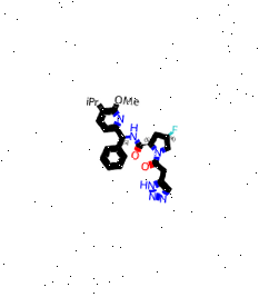 COc1nc([C@@H](NC(=O)[C@@H]2C[C@@H](F)CN2C(=O)Cc2cnn[nH]2)c2ccccc2)ccc1C(C)C